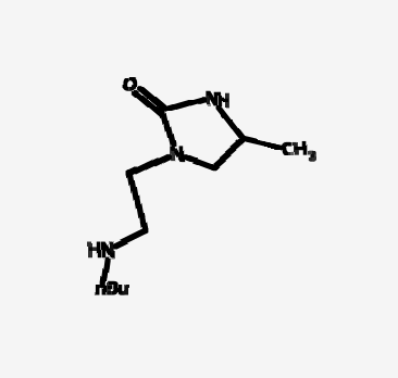 CCCCNCCN1CC(C)NC1=O